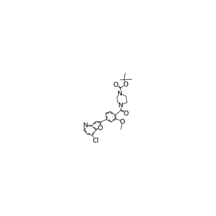 COc1cc(-c2cc3nccc(Cl)c3o2)ccc1C(=O)N1CCN(C(=O)OC(C)(C)C)CC1